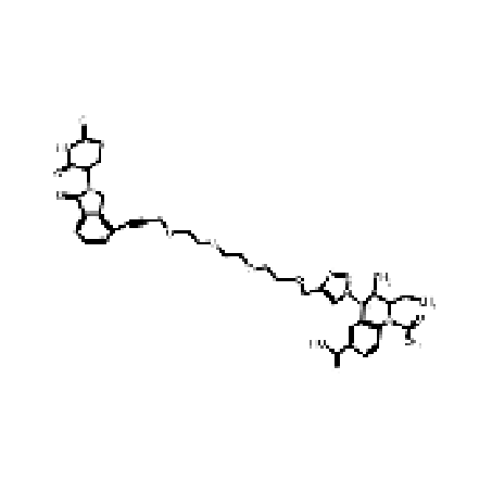 CCC1C(C)[C@H](n2cc(COCCOCCOCCOCC#Cc3cccc4c3CN(C3CCC(=O)NC3=O)C4=O)nn2)c2cc(C(=O)O)ccc2N1C(C)=O